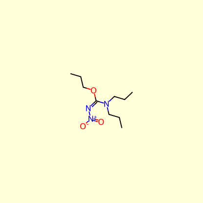 CCCOC(=N[N+](=O)[O-])N(CCC)CCC